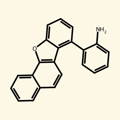 Nc1ccccc1-c1cccc2oc3c4ccccc4ccc3c12